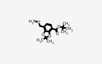 CC(C)(C)OC(=O)c1ccc(CON)c2c1OC(C)(C)O2